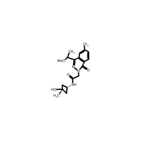 COC(C)c1nn(CC(=O)N[C@H]2C[C@@](C)(O)C2)c(=O)c2ccc(C(F)(F)F)cc12